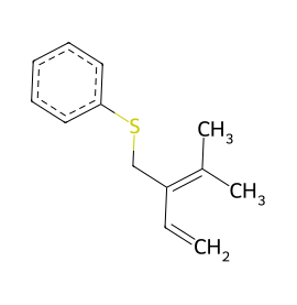 C=CC(CSc1ccccc1)=C(C)C